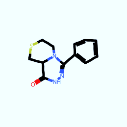 O=C1NN=C(c2ccccc2)N2CCSCC12